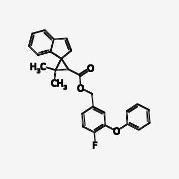 CC1(C)C(C(=O)OCc2ccc(F)c(Oc3ccccc3)c2)C12C=Cc1ccccc12